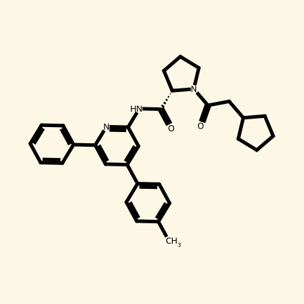 Cc1ccc(-c2cc(NC(=O)[C@@H]3CCCN3C(=O)CC3CCCC3)nc(-c3ccccc3)c2)cc1